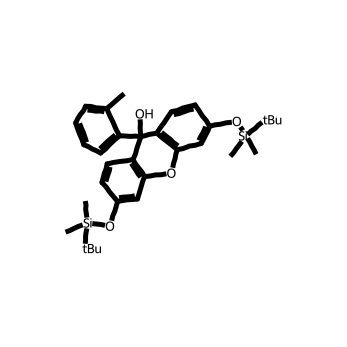 Cc1ccccc1C1(O)c2ccc(O[Si](C)(C)C(C)(C)C)cc2Oc2cc(O[Si](C)(C)C(C)(C)C)ccc21